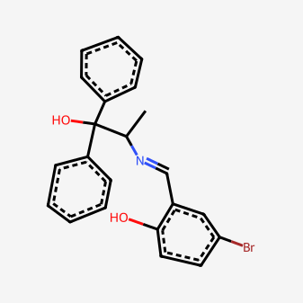 CC(N=Cc1cc(Br)ccc1O)C(O)(c1ccccc1)c1ccccc1